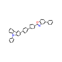 c1ccc(-c2ccc3oc(-c4ccc(-c5ccc(-c6ccc7c(c6)c6ccccc6n7-c6ccccc6)cc5)cc4)nc3c2)cc1